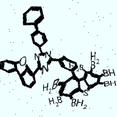 Bc1c(B)c(B)c2c(sc3c(B)c(B)c(B)c(-c4cccc(-c5nc(-c6ccc(-c7ccccc7)cc6)nc(-c6cccc7c6oc6ccccc67)n5)c4)c32)c1B